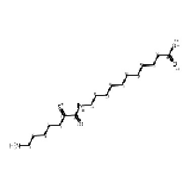 NCCCCCC(=S)C(=O)NCCCCCCCCCCC(=O)O